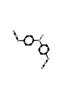 [N-]=[N+]=Nc1ccc([S+]([O-])c2ccc(N=[N+]=[N-])cc2)cc1